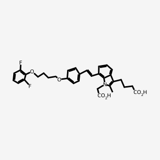 Cc1c(CCCC(=O)O)c2cccc(/C=C/c3ccc(OCCCCOc4c(F)cccc4F)cc3)c2n1CC(=O)O